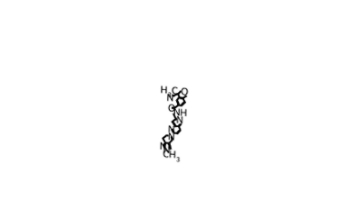 Cn1cc2c(n1)CCN(c1ccc3cnc(CNC(=O)c4ccc5c(c4)[C@](C)(C#N)COC5)cc3n1)C2